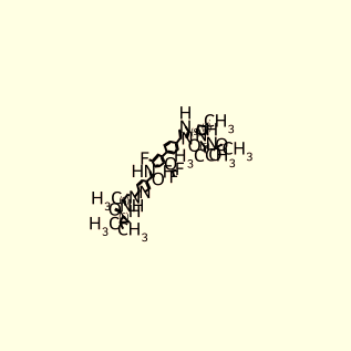 COC(=O)N[C@H](C(=O)N1C[C@@H](C)C[C@H]1c1nc(-c2ccc(-c3cc(F)c(NC(=O)c4ccc(NC[C@H](C)NC(=O)[C@H]5CC5(C)C)nc4)cc3OC(F)(F)F)cc2)c[nH]1)C(C)C